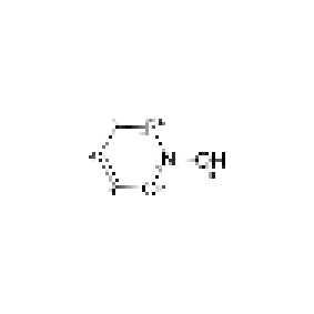 ON1OC=CC=P1